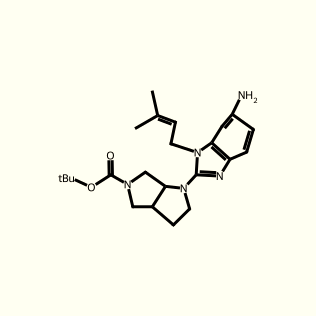 CC(C)=CCn1c(N2CCC3CN(C(=O)OC(C)(C)C)CC32)nc2ccc(N)cc21